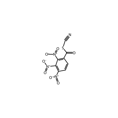 N#CSC(=O)c1ccc([N+](=O)[O-])c([N+](=O)[O-])c1[N+](=O)[O-]